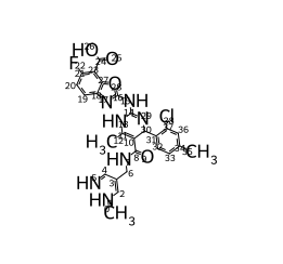 CN/C=C(\C=N)CNC(=O)C1=C(C)NC(Nc2nc3ccc(F)c(C(=O)O)c3o2)=NC1c1ccc(C)cc1Cl